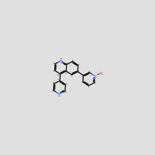 [O-][n+]1cccc(-c2ccc3nccc(-c4ccncc4)c3c2)c1